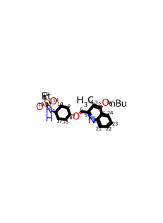 CCCCOc1c(C)c(CO[C@H]2CC[C@H](NS(=O)(=O)CC)CC2)nc2ccccc12